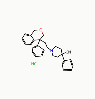 Cl.N#CC1(c2ccccc2)CCN(CCC2(c3ccccc3)COCc3ccccc32)CC1